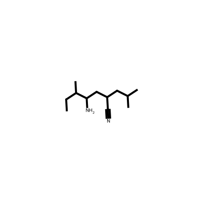 CCC(C)C(N)CC(C#N)CC(C)C